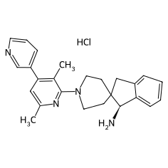 Cc1cc(-c2cccnc2)c(C)c(N2CCC3(CC2)Cc2ccccc2[C@H]3N)n1.Cl